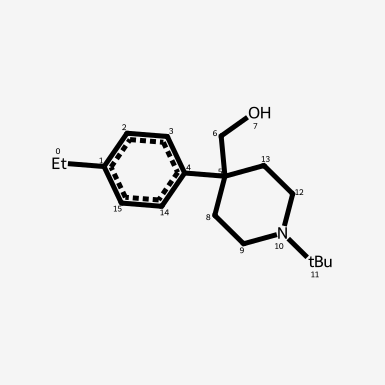 CCc1ccc(C2(CO)CCN(C(C)(C)C)CC2)cc1